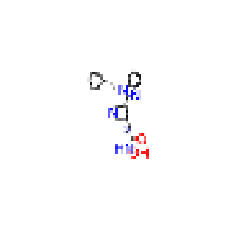 O=C(/C=C/c1cncc(-c2nc3ccccc3n2CCc2ccccc2)c1)NO